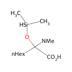 CCCCCCC(NC)(O[SiH](C)C)C(=O)O